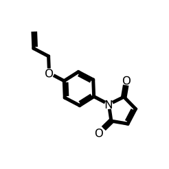 C=CCOc1ccc(N2C(=O)C=CC2=O)cc1